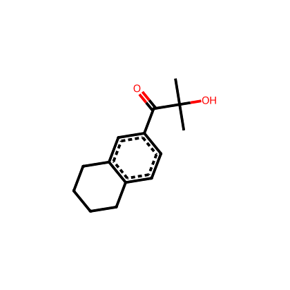 CC(C)(O)C(=O)c1ccc2c(c1)CCCC2